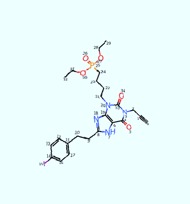 C#CCn1c(=O)c2[nH]c(CCc3ccc(I)cc3)nc2n(CCCCP(=O)(OCC)OCC)c1=O